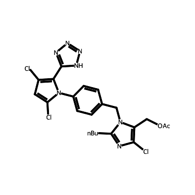 CCCCc1nc(Cl)c(COC(C)=O)n1Cc1ccc(-n2c(Cl)cc(Cl)c2-c2nnn[nH]2)cc1